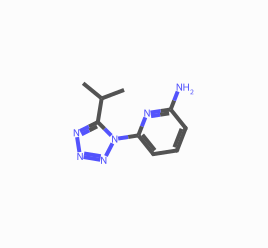 CC(C)c1nnnn1-c1cccc(N)n1